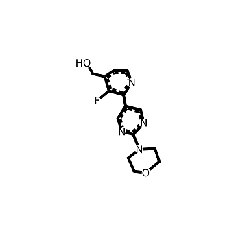 OCc1ccnc(-c2cnc(N3CCOCC3)nc2)c1F